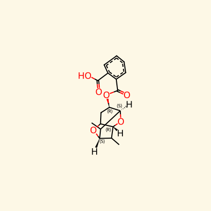 CC1[C@H]2O[C@H]3C(C)[C@H]1OC2C[C@H]3OC(=O)c1ccccc1C(=O)O